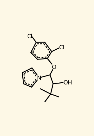 CC(C)(C)C(O)C(Oc1ccc(Cl)cc1Cl)n1cccc1